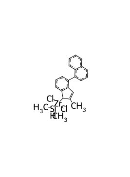 CC1=Cc2c(-c3cccc4ccccc34)cccc2[CH]1[Zr]([Cl])([Cl])[SiH](C)C